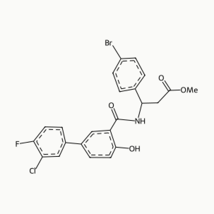 COC(=O)CC(NC(=O)c1cc(-c2ccc(F)c(Cl)c2)ccc1O)c1ccc(Br)cc1